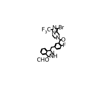 O=CC1NN=C(Cc2ccc(F)c(C(=O)N3CCn4c(C(F)(F)F)nc(Br)c4C3)c2)c2ccccc21